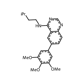 COc1cc(-c2ccc3ncnc(NCCC(C)C)c3c2)cc(OC)c1OC